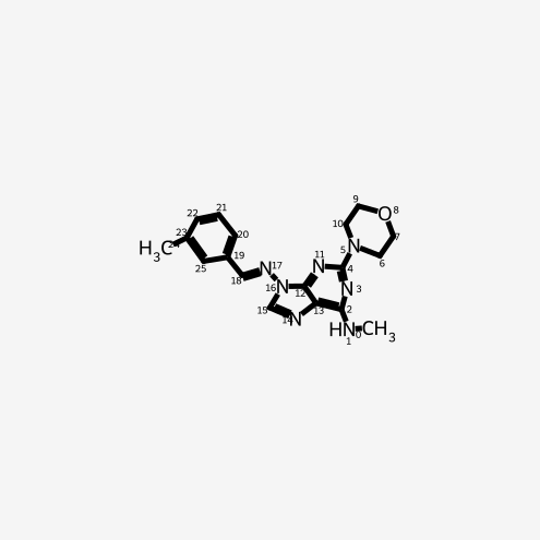 CNc1nc(N2CCOCC2)nc2c1ncn2N=Cc1cccc(C)c1